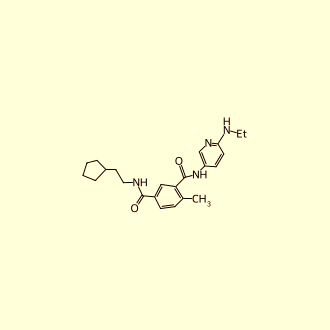 CCNc1ccc(NC(=O)c2cc(C(=O)NCCC3CCCC3)ccc2C)cn1